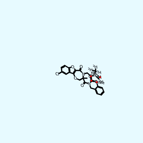 [2H]C([2H])([2H])N(C(=O)CN1C(=O)c2oc3ccc(Cl)cc3c2OCC1(C)C(=O)N(Cc1ccccc1OC)C(=O)OC(C)(C)C)C([2H])([2H])[2H]